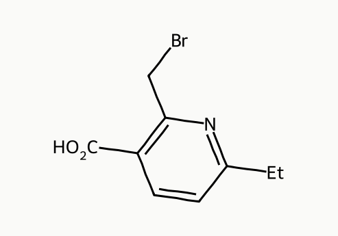 CCc1ccc(C(=O)O)c(CBr)n1